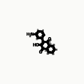 Nc1cccc(C2=C(O)C(=O)c3ccccc3C2=O)c1